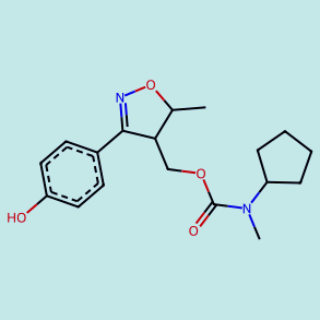 CC1ON=C(c2ccc(O)cc2)C1COC(=O)N(C)C1CCCC1